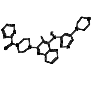 Cc1c(N2CCN(C(=O)c3ncccn3)CC2)nc2ccccc2c1N(F)c1cncc(N2CCOCC2)c1